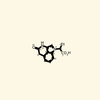 CCC(C(=O)O)n1cc2c3c(cccc31)CC(=O)N2